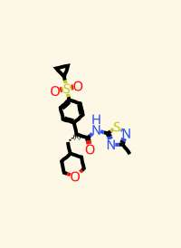 Cc1nsc(NC(=O)[C@H](CC2CCOCC2)c2ccc(S(=O)(=O)C3CC3)cc2)n1